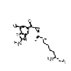 Cc1nc2cc(C(=O)[C@H]3C[C@@H]3C(=O)NCCCC[C@H](N)C(=O)O)cc(Cl)c2o1